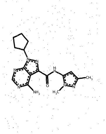 Cc1cc(NC(=O)c2nn(C3CCCC3)c3ncnc(N)c23)n(C)n1